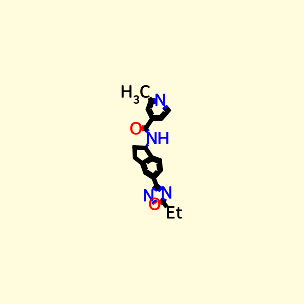 CCc1nc(-c2ccc3c(c2)CC[C@H]3NC(=O)c2ccnc(C)c2)no1